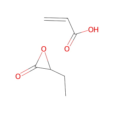 C=CC(=O)O.CCC1OC1=O